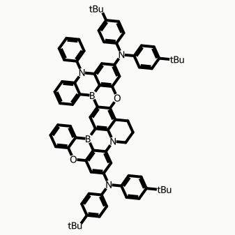 CC(C)(C)c1ccc(N(c2ccc(C(C)(C)C)cc2)c2cc3c4c(c2)N2CCCc5c6c(cc(c52)B4c2ccccc2O3)B2c3ccccc3N(c3ccccc3)c3cc(N(c4ccc(C(C)(C)C)cc4)c4ccc(C(C)(C)C)cc4)cc(c32)O6)cc1